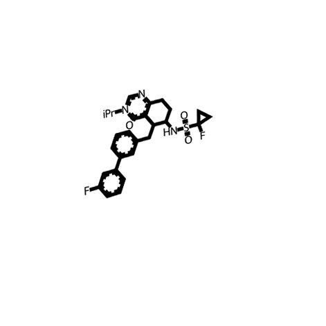 CC(C)n1cnc2c(c1=O)C(Cc1cccc(-c3cccc(F)c3)c1)C(NS(=O)(=O)C1(F)CC1)CC2